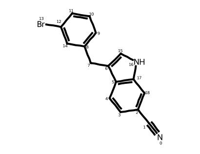 N#Cc1ccc2c(Cc3cccc(Br)c3)c[nH]c2c1